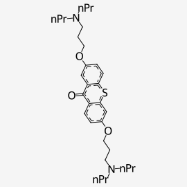 CCCN(CCC)CCCOc1ccc2c(=O)c3cc(OCCCN(CCC)CCC)ccc3sc2c1